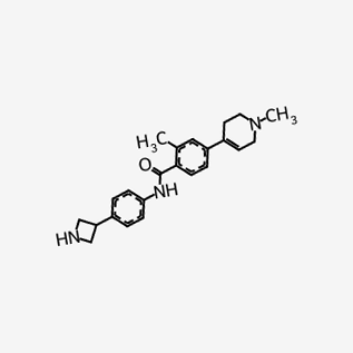 Cc1cc(C2=CCN(C)CC2)ccc1C(=O)Nc1ccc(C2CNC2)cc1